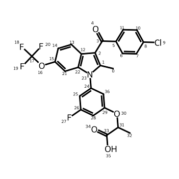 Cc1c(C(=O)c2ccc(Cl)cc2)c2ccc(OC(F)(F)F)cc2n1-c1cc(F)cc(OC(C)C(=O)O)c1